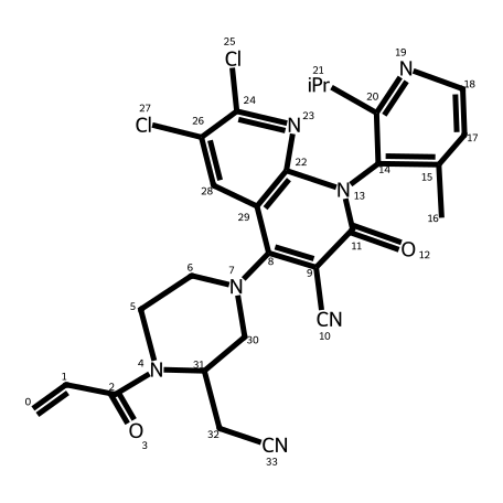 C=CC(=O)N1CCN(c2c(C#N)c(=O)n(-c3c(C)ccnc3C(C)C)c3nc(Cl)c(Cl)cc23)CC1CC#N